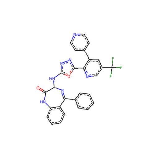 O=C1Nc2ccccc2C(c2ccccc2)=NC1Nc1nnc(-c2ncc(C(F)(F)F)cc2-c2ccncc2)o1